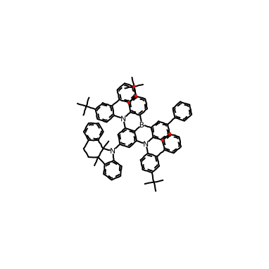 CC(C)(C)c1ccc(N2c3ccc(-c4ccccc4)cc3B3c4ccc(C(C)(C)C)cc4N(c4ccc(C(C)(C)C)cc4-c4ccccc4)c4cc(N5c6ccccc6C6(C)CCc7ccccc7C56C)cc2c43)c(-c2ccccc2)c1